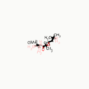 BC(C)(C)CCOC(C)(C)C(=O)BC(B)(B)OC